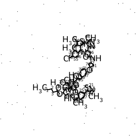 CCCCC(=O)OC1C[C@@H](C(=O)N[C@@H](C)c2ccc(-c3scnc3C)cc2)N(C(=O)[C@@H](NC(=O)c2cc3cc(O[C@H]4C[C@@H](NC(=O)CC5N=C(C6=CCC(Cl)C=C6)c6c(sc(C)c6C)-n6c(C)nnc65)C4)ccc3o2)C(C)(C)C)C1